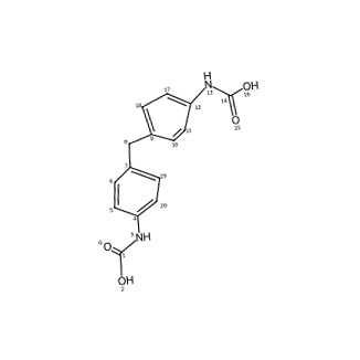 O=C(O)Nc1ccc(Cc2ccc(NC(=O)O)cc2)cc1